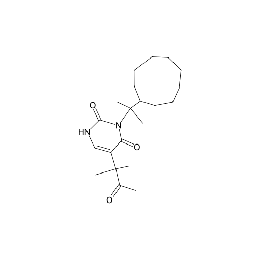 CC(=O)C(C)(C)c1c[nH]c(=O)n(C(C)(C)C2CCCCCCCC2)c1=O